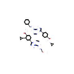 NC(=O)c1ccc(-c2cnc3c(NCCO)nccn23)cc1C1CC1.O=C(NC1CC1)c1ccc(-c2cnc3c(NCc4ccccc4)nccn23)cc1